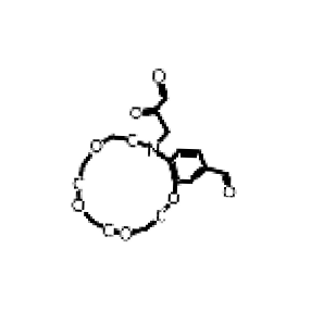 O=CC(=O)CN1CCOCCOCCOCCOc2cc(C=O)ccc21